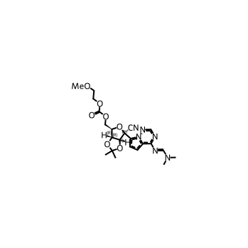 COCCOC(=O)OC[C@H]1O[C@@](C#N)(c2ccc3c(N=CN(C)C)ncnn23)[C@@H]2OC(C)(C)O[C@@H]21